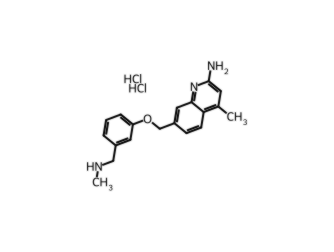 CNCc1cccc(OCc2ccc3c(C)cc(N)nc3c2)c1.Cl.Cl